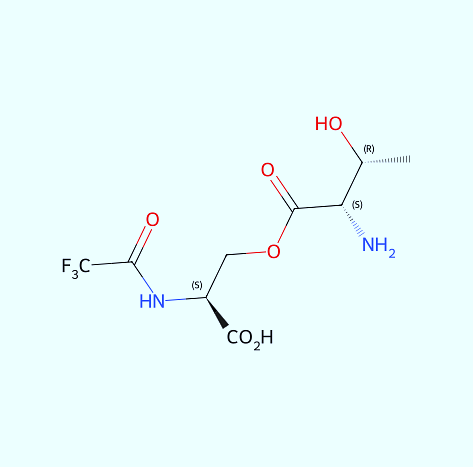 C[C@@H](O)[C@H](N)C(=O)OC[C@H](NC(=O)C(F)(F)F)C(=O)O